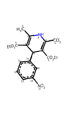 CCOC(=O)C1=C(C)NC(C(Cl)(Cl)Cl)=C(C(=O)OCC)C1c1cccc([N+](=O)[O-])c1